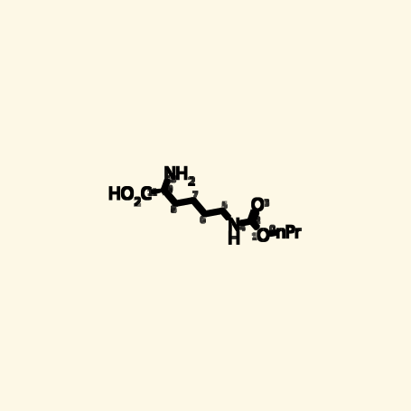 CCCOC(=O)NCCCC[C@H](N)C(=O)O